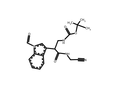 CC(C)(C)OC(=O)NCC(C(=O)NCC#N)c1cn(C=O)c2ccccc12